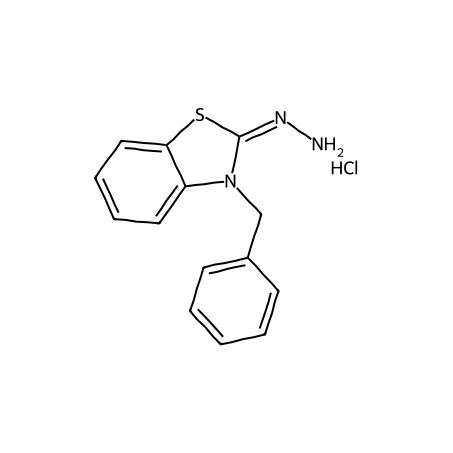 Cl.NN=c1sc2ccccc2n1Cc1ccccc1